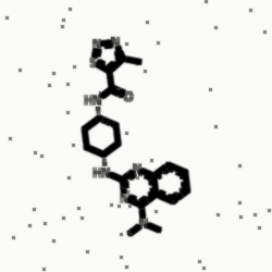 Cc1nnsc1C(=O)N[C@H]1CC[C@@H](Nc2nc(N(C)C)c3ccccc3n2)CC1